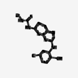 CCNC(=S)Nc1ccc2ncc(Nc3cc(Cl)ccc3O)nc2n1